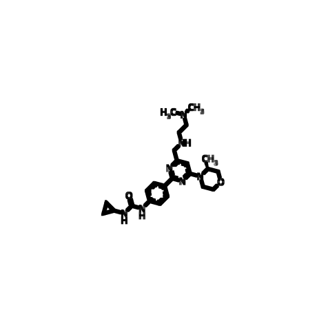 C[C@H]1COCCN1c1cc(CNCCN(C)C)nc(-c2ccc(NC(=O)NC3CC3)cc2)n1